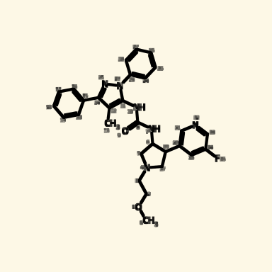 COCCN1CC(NC(=O)Nc2c(C)c(-c3ccccc3)nn2-c2ccccc2)C(c2cncc(F)c2)C1